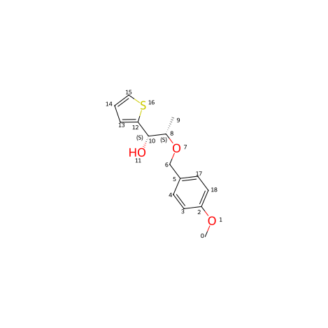 COc1ccc(CO[C@@H](C)[C@H](O)c2cccs2)cc1